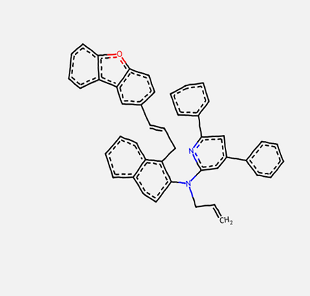 C=CCN(c1cc(-c2ccccc2)cc(-c2ccccc2)n1)c1ccc2ccccc2c1C/C=C/c1ccc2oc3ccccc3c2c1